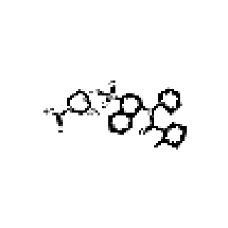 Cc1ccccc1C(=O)N(c1ccccc1)c1ccc(S(=O)(=O)N[C@H]2CCN(C(=O)O)C[C@@H]2C)c2ccccc12